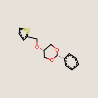 c1ccc([C@H]2OC[C@@H](OCc3cccs3)CO2)cc1